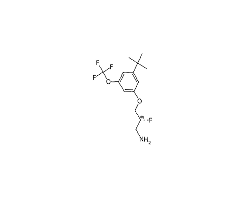 CC(C)(C)c1cc(OC[C@H](F)CN)cc(OC(F)(F)F)c1